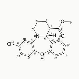 COC(=O)[C@@H]1CCCN2c3cc(Cl)ccc3Oc3ccccc3[C@@H]12